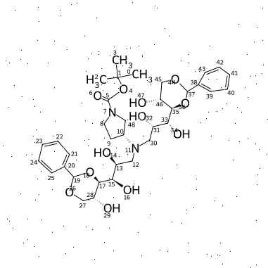 CC(C)(C)OC(=O)N1CC[C@@H](N(C[C@H](O)[C@@H](O)[C@@H]2OC(c3ccccc3)OC[C@H]2O)C[C@H](O)[C@@H](O)[C@@H]2OC(c3ccccc3)OC[C@H]2O)C1